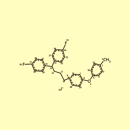 Cc1ccc(Oc2cc[n+](CCCC(c3ccc(F)cc3)c3ccc(F)cc3)cc2)cc1.[I-]